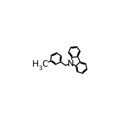 Cc1cccc(Cn2c3ccccc3c3ccccc32)c1